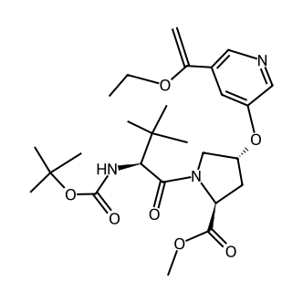 C=C(OCC)c1cncc(O[C@@H]2C[C@@H](C(=O)OC)N(C(=O)[C@@H](NC(=O)OC(C)(C)C)C(C)(C)C)C2)c1